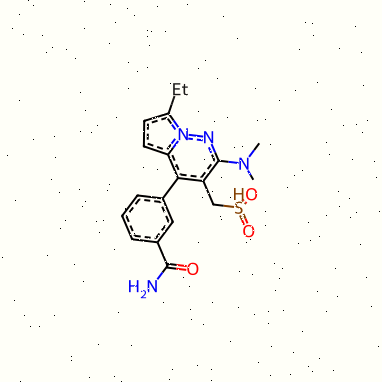 CCc1ccc2c(-c3cccc(C(N)=O)c3)c(C[SH](=O)=O)c(N(C)C)nn12